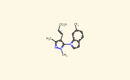 Cc1nn(C)c(-n2ccc3ccc(C(F)(F)F)cc32)c1/C=C/C(=O)O